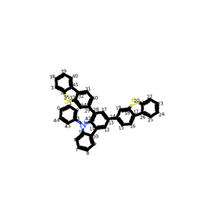 c1ccc(-n2c3ccccc3c3cc(-c4ccc5c(c4)sc4ccccc45)cc(-c4ccc5c(c4)sc4ccccc45)c32)cc1